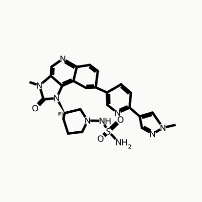 Cn1cc(-c2ccc(-c3ccc4ncc5c(c4c3)n([C@@H]3CCCN(NS(N)(=O)=O)C3)c(=O)n5C)cn2)cn1